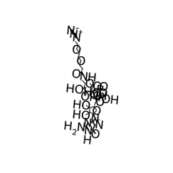 [N-]=[N+]=NCCOCCOCCC(=O)NCC1O[C@H](OP(=O)(O)OP(=O)(O)OC[C@H]2O[C@@H](n3cnc4c(=O)[nH]c(N)nc43)C(O)C2O)C(O)C(O)[C@@H]1O